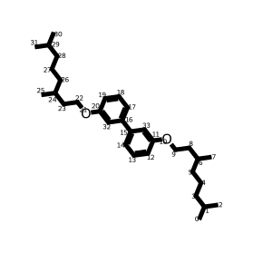 CC(C)CCCC(C)CCOc1cccc(-c2cccc(OCCC(C)CCCC(C)C)c2)c1